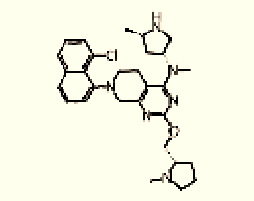 C[C@@H]1C[C@@H](N(C)c2nc(OC[C@@H]3CCCN3C)nc3c2CCN(c2cccc4cccc(Cl)c24)C3)CN1